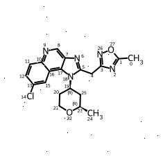 Cc1nc(Cc2nc3cnc4ccc(Cl)cc4c3n2[C@@H]2CCO[C@H](C)C2)no1